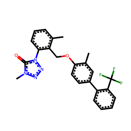 Cc1cc(-c2ccccc2C(F)(F)F)ccc1OCc1c(C)cccc1-n1nnn(C)c1=O